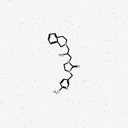 Cc1ccc(CN2CCN(CC(O)CN3CCc4ccccc4C3)C2=O)cn1